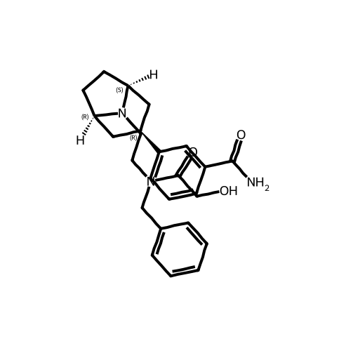 NC(=O)c1cccc([C@H]2C[C@H]3CC[C@@H](C2)N3CCN(Cc2ccccc2)C(=O)CO)c1